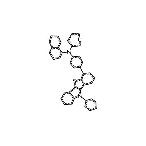 c1ccc(N(c2ccc(-c3cccc4c3sc3c5ccccc5n(-c5ccccc5)c43)cc2)c2cccc3ccccc23)cc1